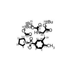 Cc1ccc(S(=O)(=O)N2CCC[C@@H]2C(=O)OC(C)(C)C)cc1C[C@H](NC(=O)OC(C)(C)C)C(=O)OC(C)(C)C